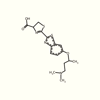 CC(CCN(C)C)Oc1ccc2nc(C3=NC(C(=O)O)CS3)sc2c1